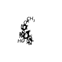 CCOc1ccc(-n2cc(C(O)c3c(C4CC4)sc4cncn34)nn2)cn1